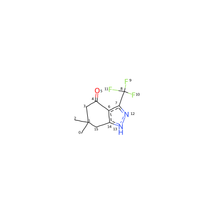 CC1(C)CC(=O)c2c(C(F)(F)F)n[nH]c2C1